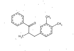 Cc1ccc(CC(C)C(=O)c2ccccc2)cc1C